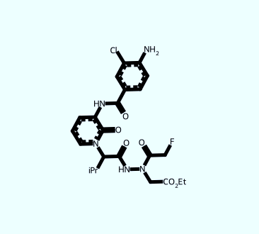 CCOC(=O)CN(NC(=O)C(C(C)C)n1cccc(NC(=O)c2ccc(N)c(Cl)c2)c1=O)C(=O)CF